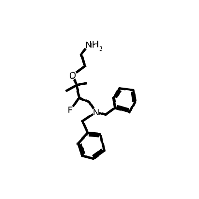 CC(C)(OCCN)C(F)CN(Cc1ccccc1)Cc1ccccc1